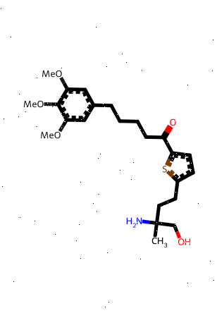 COc1cc(CCCCC(=O)c2ccc(CCC(C)(N)CO)s2)cc(OC)c1OC